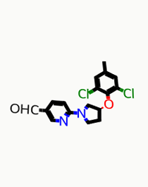 Cc1cc(Cl)c(O[C@@H]2CCN(c3ccc(C=O)cn3)C2)c(Cl)c1